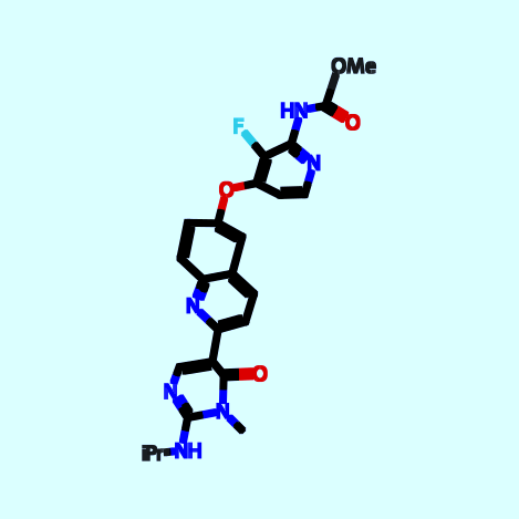 COC(=O)Nc1nccc(Oc2ccc3nc(-c4cnc(NC(C)C)n(C)c4=O)ccc3c2)c1F